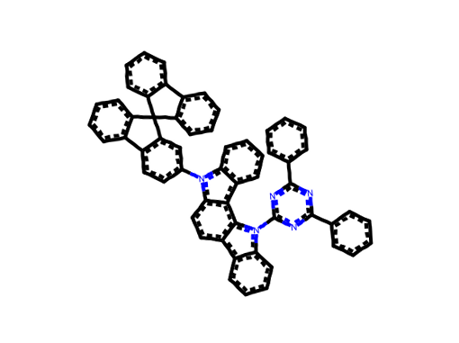 c1ccc(-c2nc(-c3ccccc3)nc(-n3c4ccccc4c4ccc5c(c6ccccc6n5-c5ccc6c(c5)C5(c7ccccc7-c7ccccc75)c5ccccc5-6)c43)n2)cc1